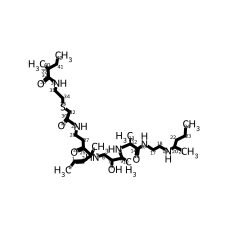 CC=CC(C)(NCC(O)C(C)N[C@@H](C)C(=O)NCCNC(C)CCC)C(=O)CCNC(=O)CSCCNC(=O)C(C)CC